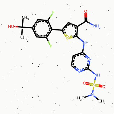 CN(C)S(=O)(=O)Nc1nccc(Nc2sc(-c3c(F)cc(C(C)(C)O)cc3F)cc2C(N)=O)n1